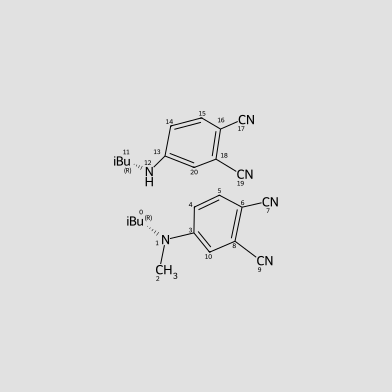 CC[C@@H](C)N(C)c1ccc(C#N)c(C#N)c1.CC[C@@H](C)Nc1ccc(C#N)c(C#N)c1